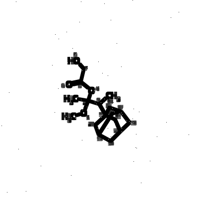 COC(C)(OC(=O)CO)C(C)C12CC3CC(CC(C3)C1)C2